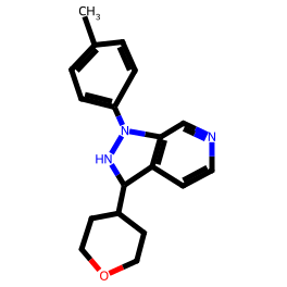 Cc1ccc(N2NC(C3CCOCC3)c3ccncc32)cc1